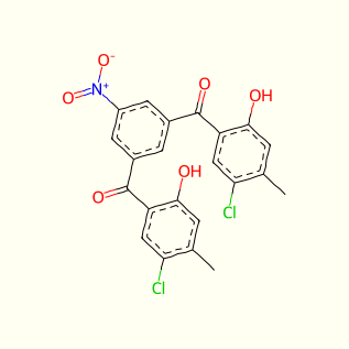 Cc1cc(O)c(C(=O)c2cc(C(=O)c3cc(Cl)c(C)cc3O)cc([N+](=O)[O-])c2)cc1Cl